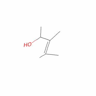 CC(C)=C(C)C(C)O